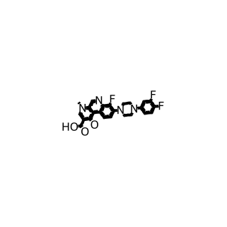 Cn1cc(C(=O)O)c(=O)c2c3ccc(N4CCN(c5ccc(F)c(F)c5)CC4)c(F)c3ncc21